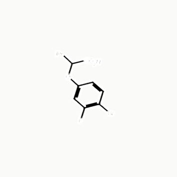 CC(C)C(Oc1ccc(Br)c(F)c1)C(=O)O